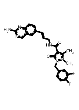 Cc1c(C(=O)NCC=Cc2ccc3nc(N)ncc3c2)c(=O)n(Cc2ccc(F)c(F)c2)n1C